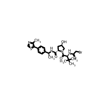 Cc1ncsc1-c1ccc([C@H](C)NC(=O)[C@@H]2C[C@@H](O)CN2C(=O)[C@@H](NC(=O)CBr)C(C)(C)C)cc1